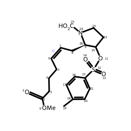 COC(=O)CCC/C=C\C[C@@H]1C(OS(=O)(=O)c2ccc(C)cc2)CCN1C(=O)O